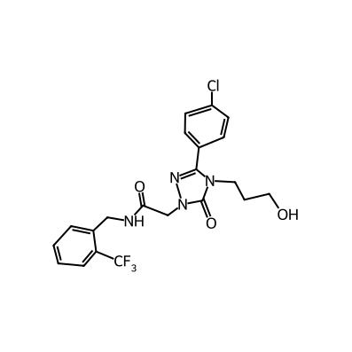 O=C(Cn1nc(-c2ccc(Cl)cc2)n(CCCO)c1=O)NCc1ccccc1C(F)(F)F